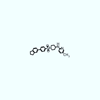 Cc1ccc(NC2CCN(S(=O)(=O)c3ccc(-c4ccc5c(c4)CCC5)cc3)CC2)nc1